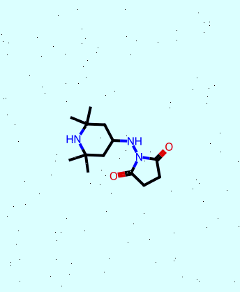 CC1(C)CC(NN2C(=O)CCC2=O)CC(C)(C)N1